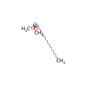 CCCCCCCCCCCCCCCCCCCCN1CCC[Si]1(OCC)OCC